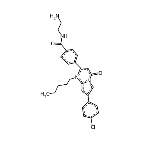 CCCCCn1c(-c2ccc(C(=O)NCCN)cc2)cc(=O)n2cc(-c3ccc(Cl)cc3)nc12